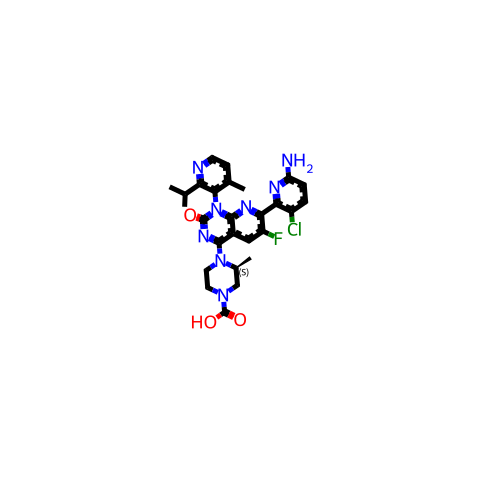 Cc1ccnc(C(C)C)c1-n1c(=O)nc(N2CCN(C(=O)O)C[C@@H]2C)c2cc(F)c(-c3nc(N)ccc3Cl)nc21